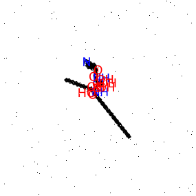 CC#CC#CC#CC#CC#CC#CC#CC#CC#CC#CC#CC#CC(=O)N[C@@H](COC1OC(CNC(=O)CCC(=O)c2ccc3cc(N(C)C)ccc3c2)C(O)C(O)C1O)[C@H](O)[C@H](O)CCCCCCCCCCCCCC